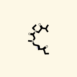 CCC(=O)/C=C/CN(C)CC(=O)N(CC)CC(=O)C(C)C